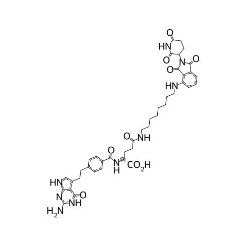 Nc1nc2[nH]cc(CCc3ccc(C(=O)N[C@H](CCC(=O)NCCCCCCCCNc4cccc5c4C(=O)N(C4CCC(=O)NC4=O)C5=O)C(=O)O)cc3)c2c(=O)[nH]1